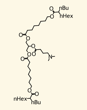 CCCCCCC(CCCC)C(=O)OCCCCCCCC(=O)OCC(COC(=O)CCCCCCCOC(=O)C(CCCC)CCCCCC)OC(=O)CCCN(C)C